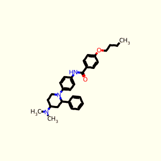 CCCCOc1ccc(C(=O)Nc2ccc(N3CCC(N(C)C)CC3c3ccccc3)cc2)cc1